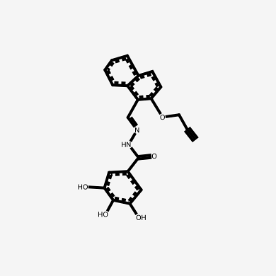 C#CCOc1ccc2ccccc2c1/C=N/NC(=O)c1cc(O)c(O)c(O)c1